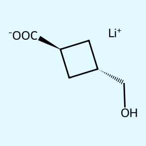 O=C([O-])[C@H]1C[C@H](CO)C1.[Li+]